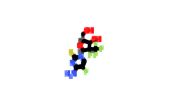 Nc1nc(=S)n([C@@H]2O[C@H](CO)C(O)[C@]2(F)C(F)(F)F)cc1F